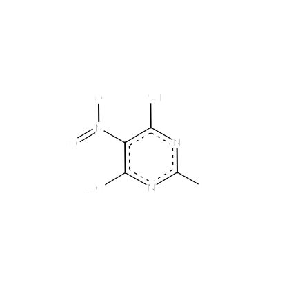 Cc1nc(O)c([N+](=O)[O-])c(S)n1